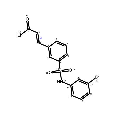 O=C(Cl)/C=C/c1cccc(S(=O)(=O)Nc2cccc(Br)c2)c1